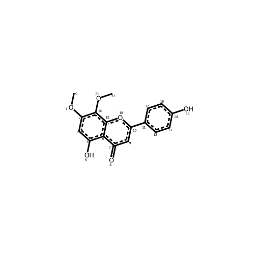 COc1cc(O)c2c(=O)cc(-c3ccc(O)cc3)oc2c1OC